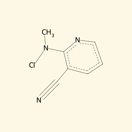 CN(Cl)c1ncccc1C#N